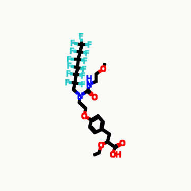 CCOC(Cc1ccc(OCCN(CC(F)(F)C(F)(F)C(F)(F)C(F)(F)C(F)(F)C(F)(F)F)C(=O)NCCOC)cc1)C(=O)O